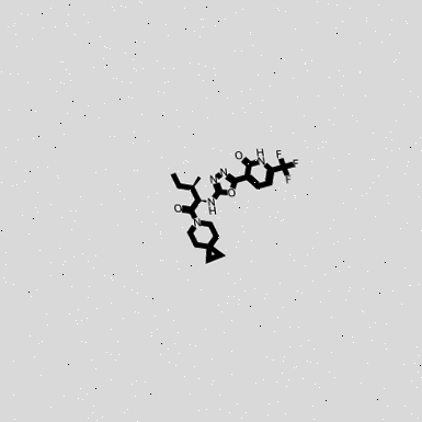 CC[C@@H](C)[C@H](Nc1nnc(-c2ccc(C(F)(F)F)[nH]c2=O)o1)C(=O)N1CCC2(CC1)CC2